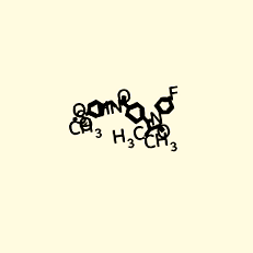 CCS(=O)(=O)c1ccc(CNC(=O)c2ccc(C3C(C(C)C)C(=O)N3c3ccc(F)cc3)cc2)cc1